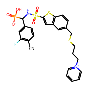 N#Cc1ccc(C(NS(=O)(=O)c2cc3cc(CSCCC[n+]4ccccc4)ccc3s2)P(=O)([O-])O)cc1F